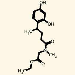 CCOC(=O)CN(C)C(=O)CCC(C)c1ccc(O)cc1O